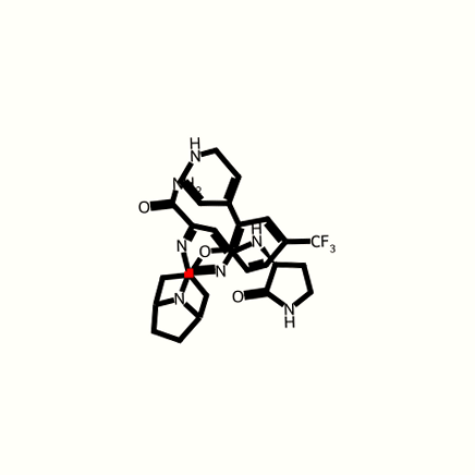 NC(=O)c1cc(N[C@H]2CCNC2=O)nc(N2C3CCC2CC(Oc2ccc(C(F)(F)F)cc2C2=CCNC=C2)C3)n1